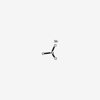 Cl[As](Cl)Cl.[Sb]